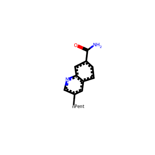 CCCCCc1cnc2cc(C(N)=O)ccc2c1